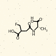 C[C@H](NC(=O)CC(CF)C(=O)O)C(=O)O